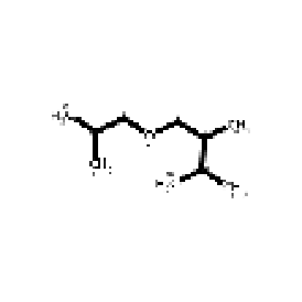 CC(C)COCC(C)C(C)C